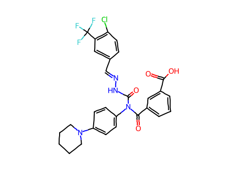 O=C(O)c1cccc(C(=O)N(C(=O)NN=Cc2ccc(Cl)c(C(F)(F)F)c2)c2ccc(N3CCCCC3)cc2)c1